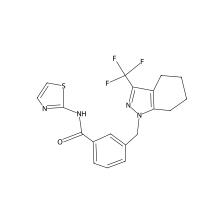 O=C(Nc1nccs1)c1cccc(Cn2nc(C(F)(F)F)c3c2CCCC3)c1